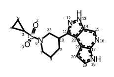 O=S(=O)(C1CC1)N1CCCC(c2n[nH]c3cnc4[nH]ccc4c23)C1